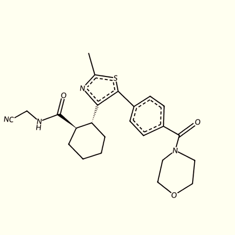 Cc1nc([C@@H]2CCCC[C@H]2C(=O)NCC#N)c(-c2ccc(C(=O)N3CCOCC3)cc2)s1